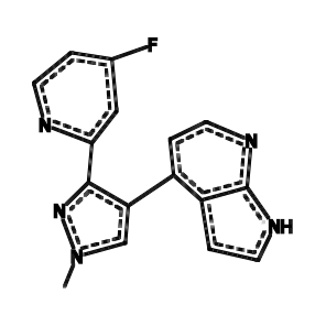 Cn1cc(-c2ccnc3[nH]ccc23)c(-c2cc(F)ccn2)n1